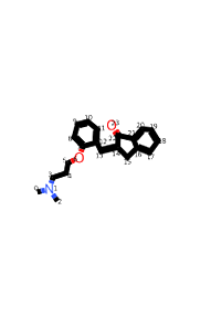 CN(C)CCCOc1ccccc1C=C1Cc2ccccc2C1=O